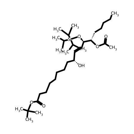 CCCCC[C@H](OC(C)=O)[C@@H](/C=C/[C@H](O)CCCCCCCC(=O)OC(C)(C)C)O[Si](C(C)C)(C(C)C)C(C)C